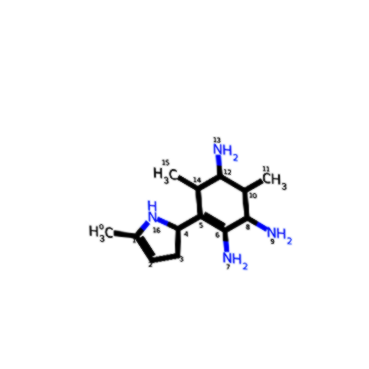 CC1=CCC(C2=C(N)C(N)C(C)C(N)C2C)N1